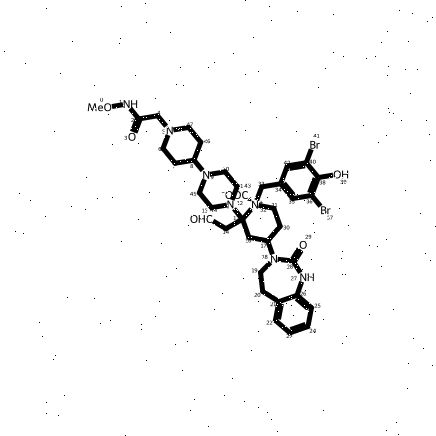 CONC(=O)CN1CCC(N2CCN(C3(CC=O)CC(N4CCc5ccccc5NC4=O)CC[N@+]3(Cc3cc(Br)c(O)c(Br)c3)C(=O)[O-])CC2)CC1